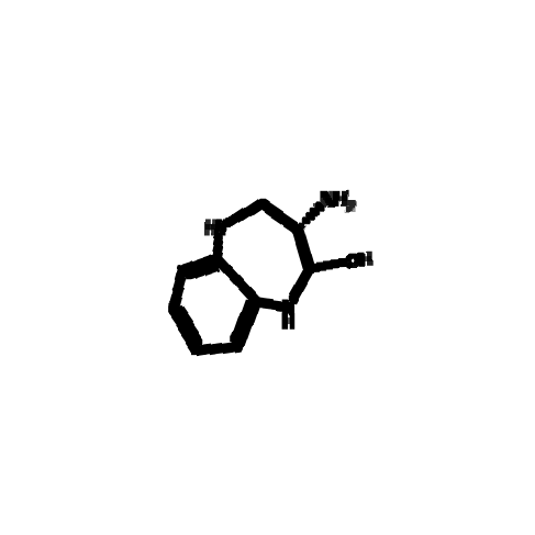 N[C@H]1CNc2ccccc2NC1O